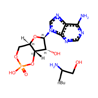 CCCCC(N)CO.Nc1ncnc2c1ncn2[C@@H]1O[C@@H]2COP(=O)(O)O[C@H]2[C@H]1O